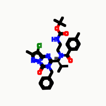 Cc1ccc(C(=O)N(CCNC(=O)OC(C)(C)C)[C@@H](c2nc3c(Cl)c(C)nn3c(=O)n2Cc2ccccc2)C(C)C)cc1